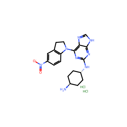 Cl.Cl.N[C@H]1CC[C@H](Nc2nc(N3CCc4cc([N+](=O)[O-])ccc43)c3nc[nH]c3n2)CC1